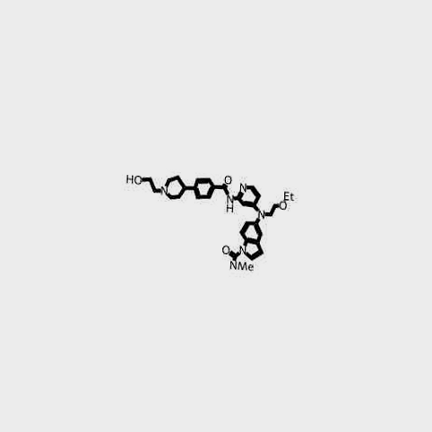 CCOCCN(c1ccnc(NC(=O)c2ccc(C3CCN(CCO)CC3)cc2)c1)c1ccc2c(ccn2C(=O)NC)c1